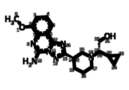 COc1cccc2c1nc(N)n1nc([C@@H]3CCCN([C@H](CO)C4CC4)C3)nc21